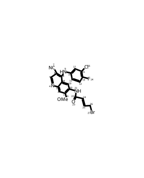 COc1cc2ncc(C#N)c(Nc3ccc(F)c(Cl)c3)c2cc1NC(=O)C=CCBr